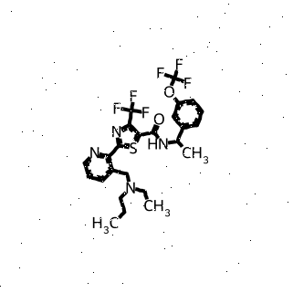 CCCN(CC)Cc1cccnc1-c1nc(C(F)(F)F)c(C(=O)NC(C)c2cccc(OC(F)(F)F)c2)s1